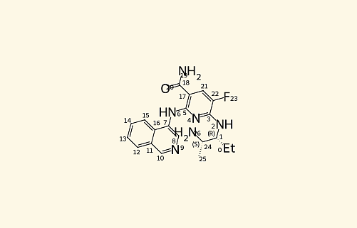 CC[C@@H](Nc1nc(Nc2cncc3ccccc23)c(C(N)=O)cc1F)[C@H](C)N